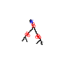 CCCCCC(CCCCC)CCOC(=O)OCCCCCCCCC(CCCCCCCCOC(=O)OCCC(CCCCC)CCCCC)OCOCCN1CCCC1